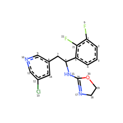 Fc1cccc(C(Cc2cncc(Cl)c2)NC2=NCCO2)c1F